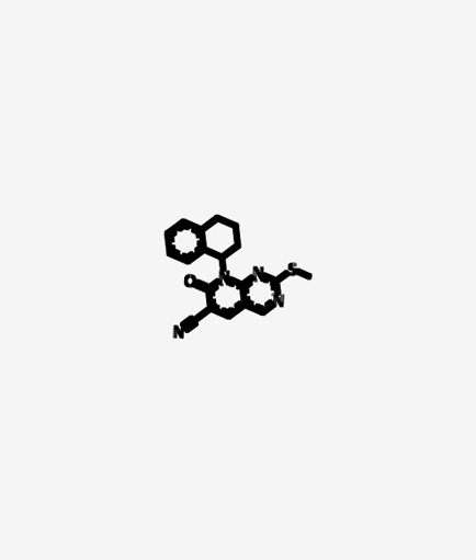 CSc1ncc2cc(C#N)c(=O)n(C3CCCc4ccccc43)c2n1